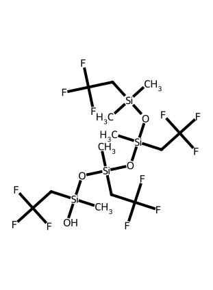 C[Si](C)(CC(F)(F)F)O[Si](C)(CC(F)(F)F)O[Si](C)(CC(F)(F)F)O[Si](C)(O)CC(F)(F)F